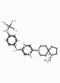 N[C@@H]1CCCC12CCN(c1cnc(Sc3ccc(OC(F)(F)F)cc3)cn1)CC2